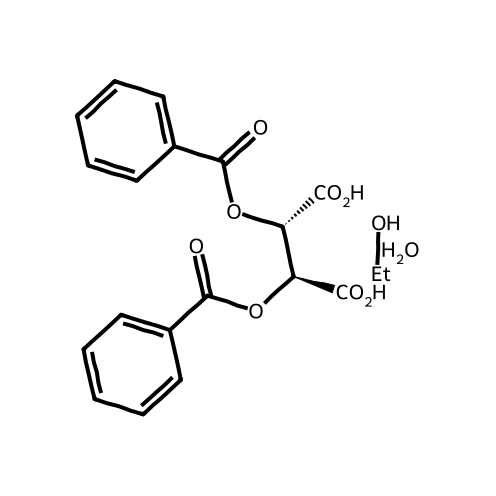 CCO.O.O=C(O[C@H](C(=O)O)[C@H](OC(=O)c1ccccc1)C(=O)O)c1ccccc1